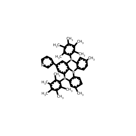 Cc1ccc2c(c1)B(c1c(C)c(C)c(C)c(C)c1C)c1cc(-c3cccnc3)cc3c1N2c1ccc(C)cc1B3c1c(C)c(C)c(C)c(C)c1C